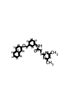 Cc1cc(C)nc(SCC(=O)Nc2cccc(COc3ccc4ccccc4c3)c2)n1